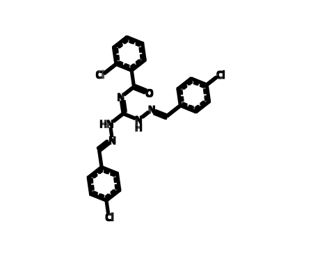 O=C(N=C(NN=Cc1ccc(Cl)cc1)NN=Cc1ccc(Cl)cc1)c1ccccc1Cl